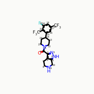 O=C(c1n[nH]c2c1CCNC2)N1CCC(c2cc(C(F)(F)F)cc(F)c2C(F)(F)F)CC1